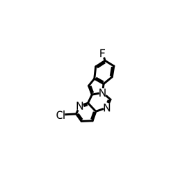 Fc1ccc2c(c1)cc1c3nc(Cl)ccc3ncn21